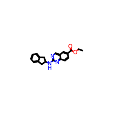 CCOC(=O)c1ccc2nc(NC3Cc4ccccc4C3)ncc2c1